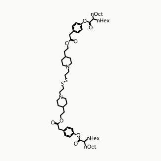 CCCCCCCCC(CCCCCC)C(=O)Oc1ccc(CC(=O)OCCC2CCN(CCSSCCN3CCC(CCOC(=O)Cc4ccc(OC(=O)C(CCCCCC)CCCCCCCC)cc4)CC3)CC2)cc1